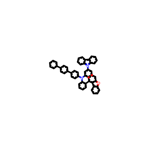 c1ccc(-c2ccc(-c3ccc(N(c4cccc(-n5c6ccccc6c6ccccc65)c4)c4ccccc4-c4cccc5oc6ccccc6c45)cc3)cc2)cc1